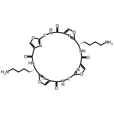 NCCCC[C@@H]1NC(=O)c2coc(n2)CNC(=O)c2coc(n2)[C@H](CCCCN)NC(=O)c2coc(n2)CNC(=O)c2coc1n2